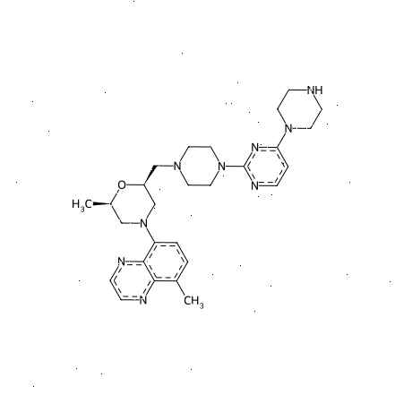 Cc1ccc(N2C[C@H](CN3CCN(c4nccc(N5CCNCC5)n4)CC3)O[C@H](C)C2)c2nccnc12